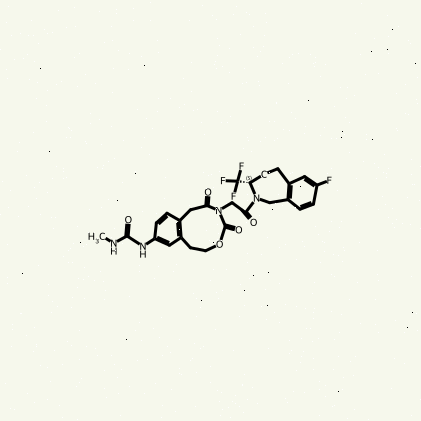 CNC(=O)Nc1ccc2c(c1)CCOC(=O)N(CC(=O)N1Cc3ccc(F)cc3CC[C@H]1C(F)(F)F)C(=O)C2